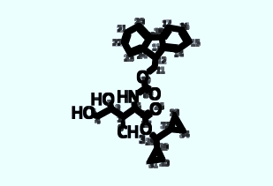 C[C@@H](C(O)CO)C(NC(=O)OCC1c2ccccc2-c2ccccc21)C(=O)OC(C1CC1)C1CC1